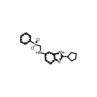 O=S(=O)(CNc1ccc2nc(C3CCCC3)[nH]c2c1)c1ccccc1